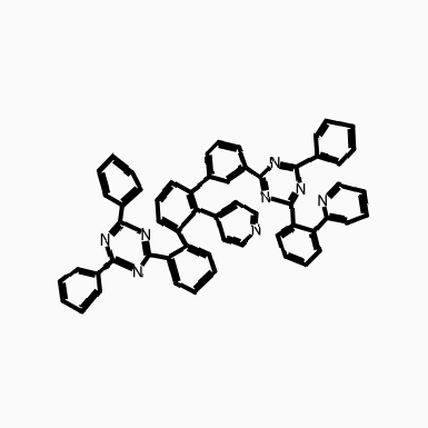 c1ccc(-c2nc(-c3cccc(-c4cccc(-c5ccccc5-c5nc(-c6ccccc6)nc(-c6ccccc6)n5)c4-c4ccncc4)c3)nc(-c3ccccc3-c3ccccn3)n2)cc1